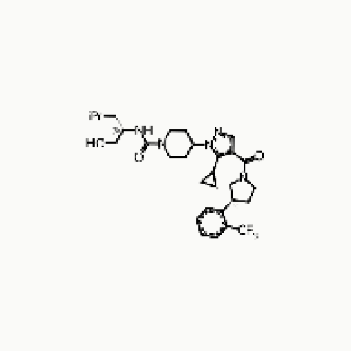 CC(C)C[C@@H](CO)NC(=O)N1CCC(n2ncc(C(=O)N3CC[C@@H](c4ccccc4C(F)(F)F)C3)c2C2CC2)CC1